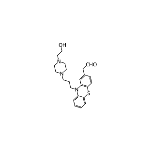 O=CCc1ccc2c(c1)N(CCCN1CCN(CCO)CC1)c1ccccc1S2